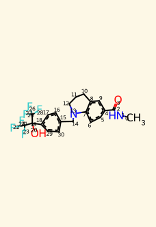 CNC(=O)c1ccc2c(c1)CCCN2Cc1ccc(C(O)(C(F)(F)F)C(F)(F)F)cc1